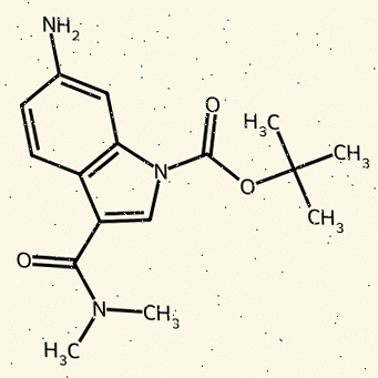 CN(C)C(=O)c1cn(C(=O)OC(C)(C)C)c2cc(N)ccc12